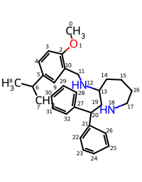 COc1ccc(C(C)C)cc1CNC1CCCCNC1C(c1ccccc1)c1ccccc1